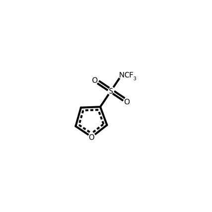 O=S(=O)(NC(F)(F)F)c1ccoc1